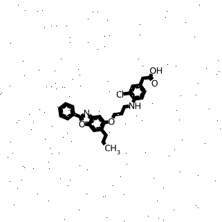 CCCc1cc2oc(-c3ccccc3)nc2cc1OCCCNc1ccc(CC(=O)O)cc1Cl